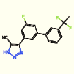 CC(F)(F)c1cccc(-c2cc(F)cc(-c3nn[nH]c3C#N)c2)c1